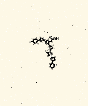 Cc1ccc(-c2ccc(-c3cc(CC(=O)O)c(-c4ccc(-c5sc(-c6ccc(-c7ccccc7)s6)cc5C)s4)s3)s2)cc1